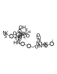 Cc1cccc(-c2ccn(-c3cc(N4CCOCC4)nc(OCCc4ccc(-c5ccc(NC(=O)C[C@H](NC(=O)[C@@H]6C[C@@H](O)CN6C(=O)[C@@H](NC(=O)C6(F)CC6)C(C)(C)C)c6ccc(-c7scnc7C)cc6)cc5)cc4)n3)n2)c1